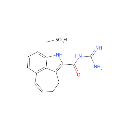 CS(=O)(=O)O.N=C(N)NC(=O)c1[nH]c2cccc3c2c1CCC=C3